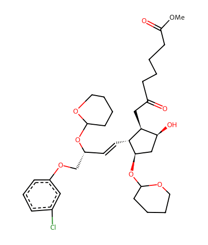 COC(=O)CCCCC(=O)C[C@@H]1[C@@H](/C=C/[C@H](COc2cccc(Cl)c2)OC2CCCCO2)[C@H](OC2CCCCO2)C[C@@H]1O